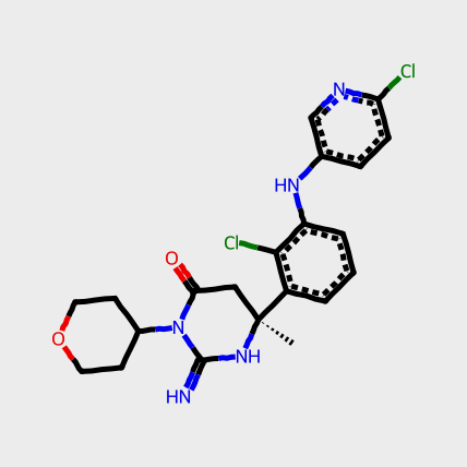 C[C@@]1(c2cccc(Nc3ccc(Cl)nc3)c2Cl)CC(=O)N(C2CCOCC2)C(=N)N1